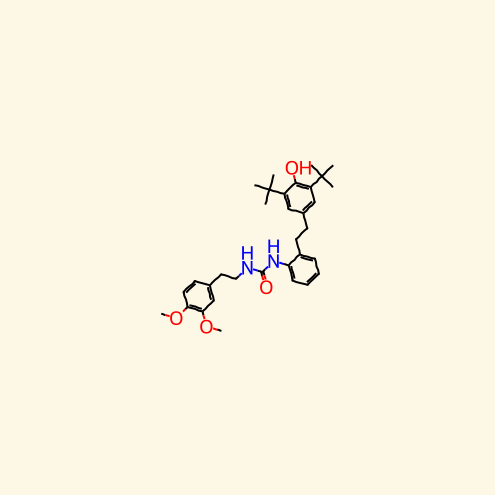 COc1ccc(CCNC(=O)Nc2ccccc2CCc2cc(C(C)(C)C)c(O)c(C(C)(C)C)c2)cc1OC